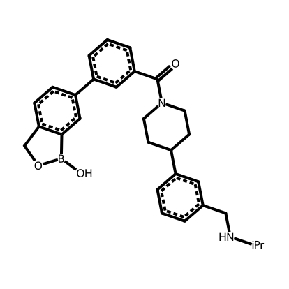 CC(C)NCc1cccc(C2CCN(C(=O)c3cccc(-c4ccc5c(c4)B(O)OC5)c3)CC2)c1